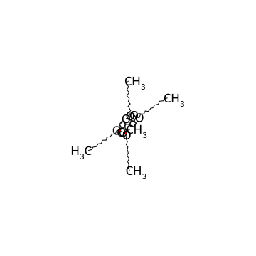 CCCCCCCCCCCCOC(=O)c1cccc(-c2cccc(C(=O)OCCCCCCCCCCCC)c2C(C)C(=O)OCCCCCCCCCCCC)c1C(=O)OCCCCCCCCCCCC